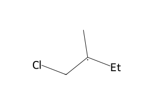 CC[C](C)CCl